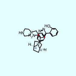 Nc1nnc(-c2ccccc2O)cc1N1C[C@H]2CC[C@@H](C1)N2c1cccc(CN2CCNCC2)c1